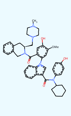 COc1cc(-n2cc(C(=O)N(c3ccc(O)cc3)C3CCCCC3)c3ccccc32)c(C(=O)N2Cc3ccccc3C[C@H]2CN2CCN(C)CC2)cc1O